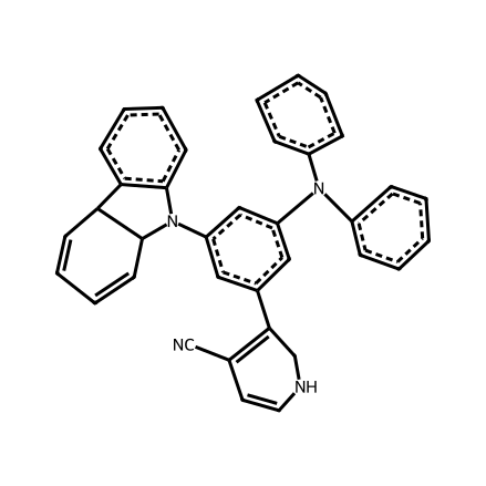 N#CC1=C(c2cc(N(c3ccccc3)c3ccccc3)cc(N3c4ccccc4C4C=CC=CC43)c2)CNC=C1